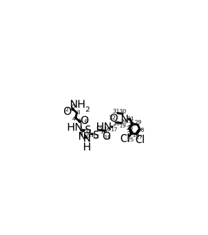 NC(=O)CCC(=O)NC1=NNC(SCC(=O)NC[C@H]2CN(CC3C=C(Cl)C(Cl)=CC3)CCO2)S1